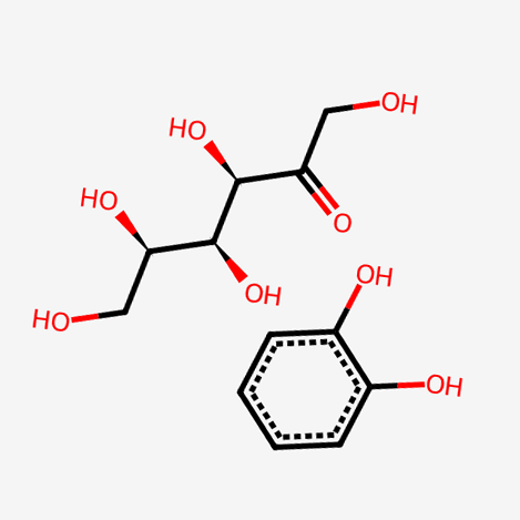 O=C(CO)[C@H](O)[C@@H](O)[C@H](O)CO.Oc1ccccc1O